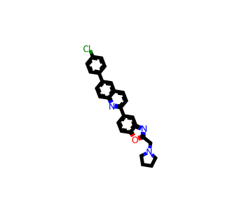 Clc1ccc(-c2ccc3nc(-c4ccc5oc(CN6CCCC6)nc5c4)ccc3c2)cc1